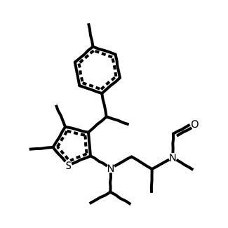 Cc1ccc(C(C)c2c(N(CC(C)N(C)C=O)C(C)C)sc(C)c2C)cc1